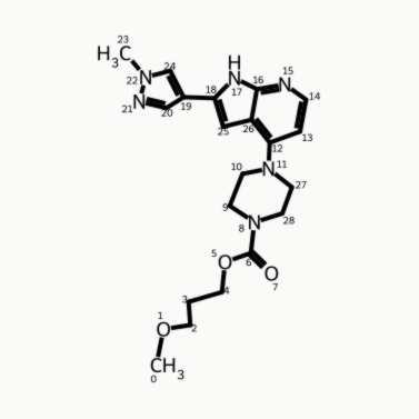 COCCCOC(=O)N1CCN(c2ccnc3[nH]c(-c4cnn(C)c4)cc23)CC1